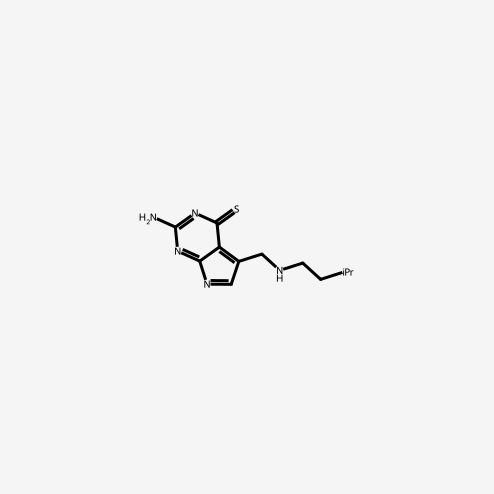 CC(C)CCNCC1=C2C(=S)N=C(N)N=C2N=C1